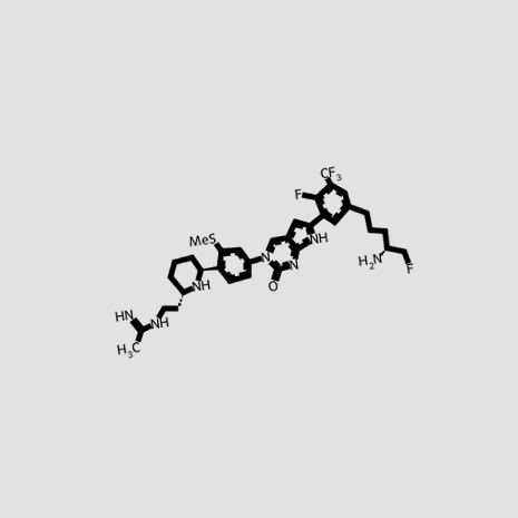 CSc1cc(-n2cc3cc(-c4cc(CCC[C@@H](N)CF)cc(C(F)(F)F)c4F)[nH]c3nc2=O)ccc1[C@@H]1CCC[C@@H](CCNC(C)=N)N1